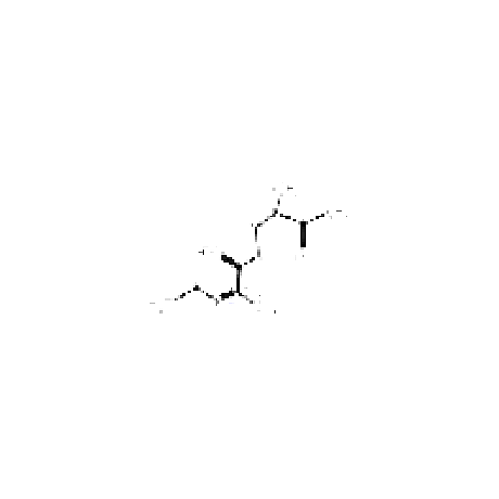 C=C(CCC(C)C(C)=S)/C(C)=C\CC